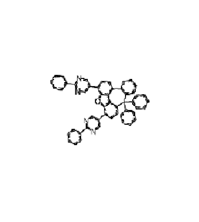 c1ccc(-c2ncc(-c3ccc4c5c3oc3c(-c6cnc(-c7ccccc7)nc6)ccc(c35)C(c3ccccc3)(c3ccccc3)c3ccccc3-4)cn2)cc1